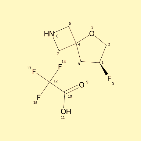 F[C@@H]1COC2(CNC2)C1.O=C(O)C(F)(F)F